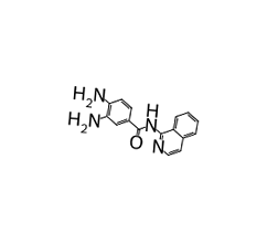 Nc1ccc(C(=O)Nc2nccc3ccccc23)cc1N